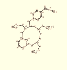 O=C(O)CN1CCN(CC(=O)O)CC(Cc2ccc(N=C=S)cc2)N(CC(=O)O)Cc2cccc(n2)C1